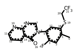 Cc1cc(F)c(-n2cnc3ncccc3c2=O)cc1SCC(F)(F)F